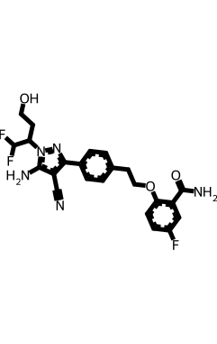 N#Cc1c(-c2ccc(CCOc3ccc(F)cc3C(N)=O)cc2)nn(C(CCO)C(F)F)c1N